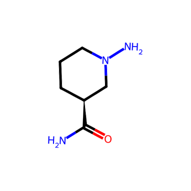 NC(=O)[C@H]1CCCN(N)C1